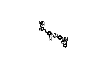 N#Cc1cc(CCC2COC(Cn3nccn3)C2)ccc1N1CCN(c2ccc(-n3cnn(CC4CCCC4)c3=O)cc2)CC1